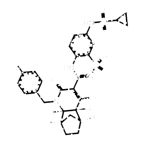 O=C1C(C2=NS(=O)(=O)c3cc(NS(=O)(=O)C4CC4)ccc3N2)=C(O)[C@@H]2[C@H]3CC[C@H](C3)[C@@H]2N1Cc1ccc(F)cc1